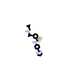 Cl.Cl.O=C(Nc1ccc(-c2ncccn2)cc1)c1cccc(C2CC2NCC2CC2)c1